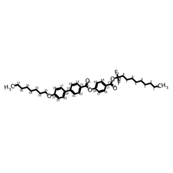 CCCCCCCCCC(F)(F)OC(=O)c1ccc(OC(=O)c2ccc(-c3ccc(OCCCCCCCC)cc3)cc2)cc1